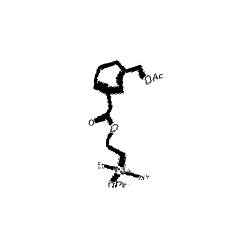 CCC[N+](CC)(CCC)CCOC(=O)c1cccc(COC(C)=O)c1